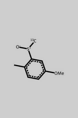 COc1ccc(C)c([S+]([13CH3])[O-])c1